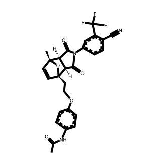 CC(=O)Nc1ccc(OCC[C@@]23C=C[C@@](C)(O2)[C@H]2C(=O)N(c4ccc(C#N)c(C(F)(F)F)c4)C(=O)[C@H]23)cc1